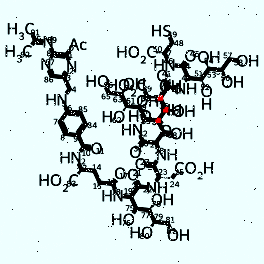 CC(=O)c1nc(CNc2ccc(C(=O)N[C@@H](CCC(=O)NC(C(=O)N[C@@H](CC(=O)O)C(=O)NC(C(=O)N[C@H](C(=O)N[C@@H](CC(=O)O)C(=O)N[C@H](C(=O)N[C@@H](CS)C(=O)O)[C@@H](O)[C@H](O)[C@H](O)CO)[C@@H](O)[C@H](O)[C@H](O)CO)C(O)[C@H](O)[C@H](O)CO)C(O)[C@H](O)[C@H](O)CO)C(=O)O)cc2)cnc1N=C(C)C